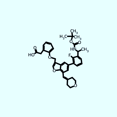 CC(NC(=O)OC(C)(C)C)c1cccc(-c2cc(C=C3CCOCC3)c3occ(COc4ccccc4CC(=O)O)c3c2)c1F